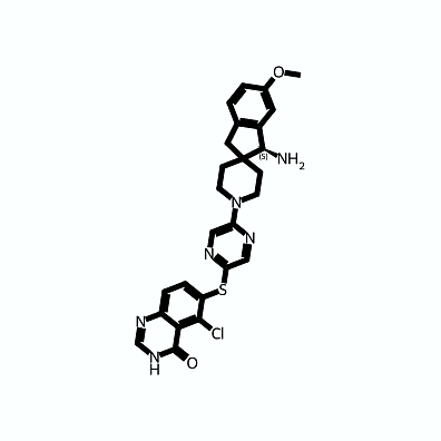 COc1ccc2c(c1)[C@@H](N)C1(CCN(c3cnc(Sc4ccc5nc[nH]c(=O)c5c4Cl)cn3)CC1)C2